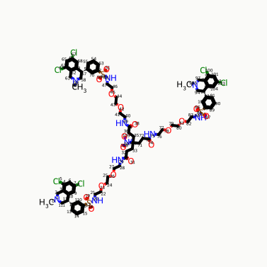 CN1Cc2c(Cl)cc(Cl)cc2[C@H](c2cccc(S(=O)(=O)NCCOCCOCCNC(=O)CCC(CCC(=O)NCCOCCOCCNS(=O)(=O)c3cccc([C@@H]4CN(C)Cc5c(Cl)cc(Cl)cc54)c3)(CCC(=O)NCCOCCOCCNS(=O)(=O)c3cccc([C@@H]4CN(C)Cc5c(Cl)cc(Cl)cc54)c3)[N+](=O)[O-])c2)C1